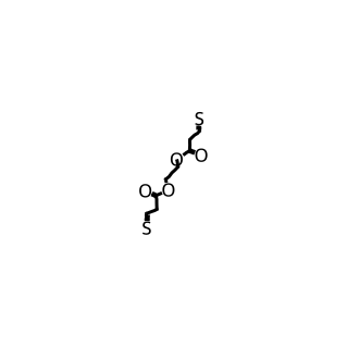 O=C(CC=S)OCCOC(=O)CC=S